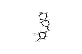 FC(F)(F)c1cc(OC2CCC3(CCNCC3)CC2)ccc1Cl